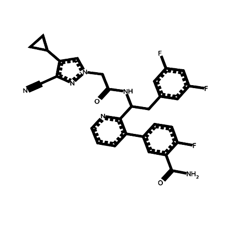 N#Cc1nn(CC(=O)NC(Cc2cc(F)cc(F)c2)c2ncccc2-c2ccc(F)c(C(N)=O)c2)cc1C1CC1